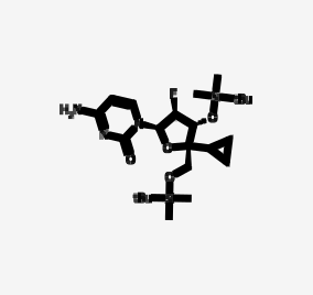 CC(C)(C)[Si](C)(C)OC[C@@]1(C2CC2)O[C@@H](n2ccc(N)nc2=O)[C@@H](F)[C@@H]1O[Si](C)(C)C(C)(C)C